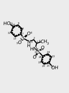 CC(CNS(=O)(=O)c1ccc(O)cc1)NS(=O)(=O)c1ccc(O)cc1